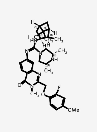 COc1ccc(OCc2nc3cc(N=C(N[C@H]4C[C@@H]5C[C@@H]([C@H]4C)C5(C)C)N4C[C@@H](C)N[C@@H](C)C4)ccc3c(=O)n2C)c(F)c1